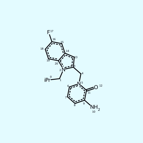 CC(C)Cn1c(Cn2cccc(N)c2=O)cc2cc(F)ccc21